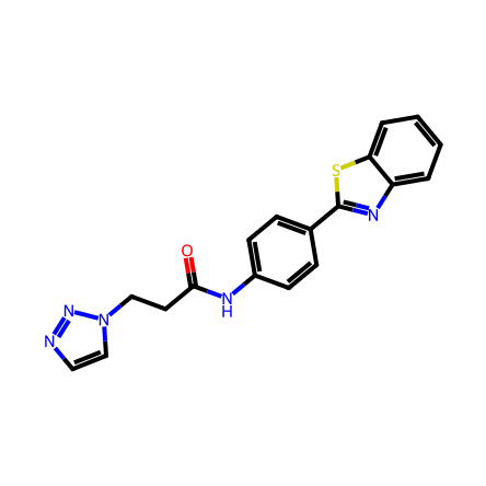 O=C(CCn1ccnn1)Nc1ccc(-c2nc3ccccc3s2)cc1